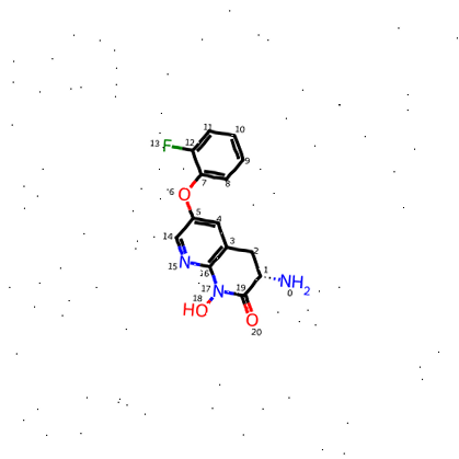 N[C@H]1Cc2cc(Oc3ccccc3F)cnc2N(O)C1=O